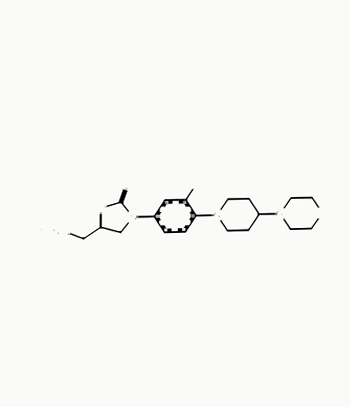 CC(=O)NCC1CN(c2ccc(N3CCC(N4CCOCC4)CC3)c(F)c2)C(=O)O1